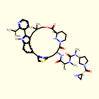 CCn1c(-c2cccnc2[C@H](C)OC)c2c3cc(ccc31)-c1csc(n1)C[C@H](NC(=O)[C@H](C(C)C)N(C)C(=O)N(C)[C@H]1CCN(C(=O)[C@@H]3CN3)C1)C(=O)N1CCC[C@H](N1)C(=O)OCC(C)(C)C2